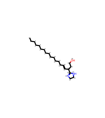 CCCCCCCCCCCCCCC=CC(CCO)C1=NCCN1